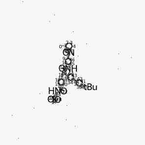 Cc1cccc2nc(-c3ccc(NC(=O)[C@@H](Cc4ccc(C(=O)NCCS(C)(=O)=O)cc4)c4ccc(-c5ccc(C(C)(C)C)cc5)cc4)cc3)oc12